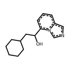 OC(CC1CCCCC1)c1cccc2cncn12